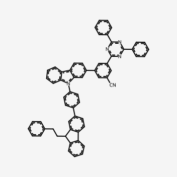 N#Cc1cc(-c2ccc3c4ccccc4n(-c4ccc(-c5ccc6c(c5)C(CCc5ccccc5)c5ccccc5-6)cc4)c3c2)cc(-c2nc(-c3ccccc3)nc(-c3ccccc3)n2)c1